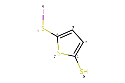 Sc1ccc(SI)s1